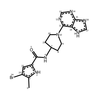 Cc1[nH]c(C(=O)NC2CCN(c3ncnc4nc[nH]c34)CC2)cc1Br